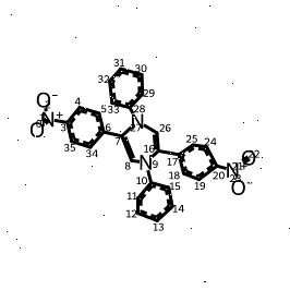 O=[N+]([O-])c1ccc(C2=CN(c3ccccc3)C(c3ccc([N+](=O)[O-])cc3)=CN2c2ccccc2)cc1